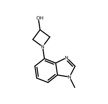 Cn1cnc2c(N3CC(O)C3)cccc21